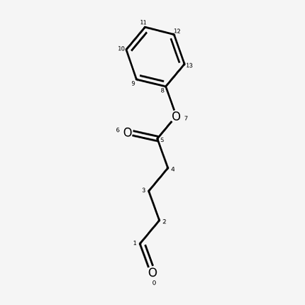 O=CCCCC(=O)Oc1ccccc1